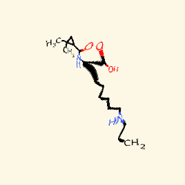 C=CCNCCCCCC=C(NC(=O)C1CC1(C)C)C(=O)O